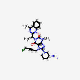 Cc1nc(C(C)n2c(=O)c3c(nc(N4CCC[C@@H](N)C4)n3CC#CCF)n(C)c2=O)nc2ccccc12